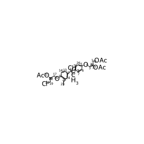 CC(=O)OC[C@H](COc1ccc(C(C)(C)c2ccc(OC[C@@H](CCl)OC(C)=O)c(I)c2)cc1)OC(C)=O